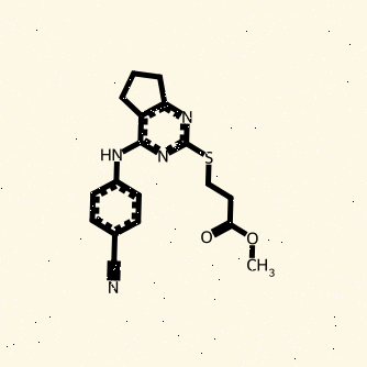 COC(=O)CCSc1nc2c(c(Nc3ccc(C#N)cc3)n1)CCC2